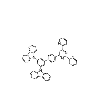 c1ccc(-c2cc(-c3ccc(-c4cc(-n5c6ccccc6c6ccccc65)cc(-n5c6ccccc6c6ccccc65)c4)cc3)nc(-c3ccccn3)n2)nc1